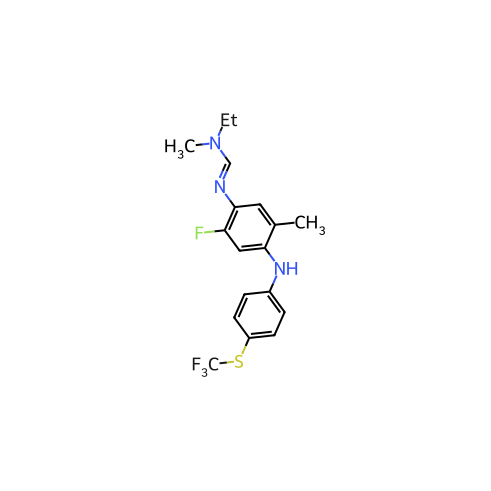 CCN(C)C=Nc1cc(C)c(Nc2ccc(SC(F)(F)F)cc2)cc1F